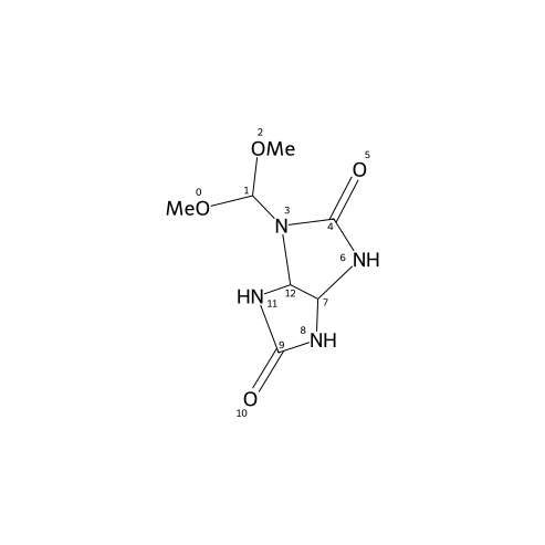 COC(OC)N1C(=O)NC2NC(=O)NC21